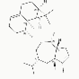 CC1=CC[C@H]2[C@@H](C)CC[C@@H](C(C)C)C[C@@H]12.C[C@@H]1CCC=C2CC[C@@H]3[C@@H](C3(C)C)[C@]21C